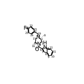 C[C@@H]1CN(C(=O)c2cc3ccccc3[nH]2)[C@H](C)CN1Cc1ccc(F)cc1